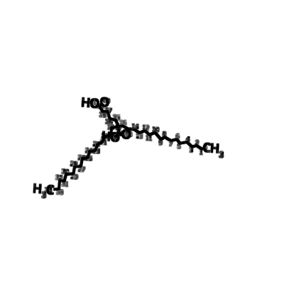 CCCCCCCCCCCCCCCCCC(CCCCCCCCCCCCCCCCC)(CCCCC(=O)O)C(=O)O